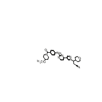 COC1CCN(C(=O)c2ccc(Nc3nccc(-c4cnn(C(CC#N)C5CCOCC5)c4)n3)cc2)CC1